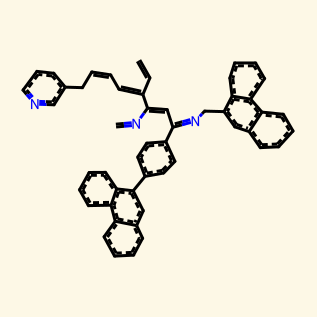 C=CC(=C\C=C/Cc1cccnc1)/C(=C/C(=N\Cc1cc2ccccc2c2ccccc12)c1ccc(-c2cc3ccccc3c3ccccc23)cc1)N=C